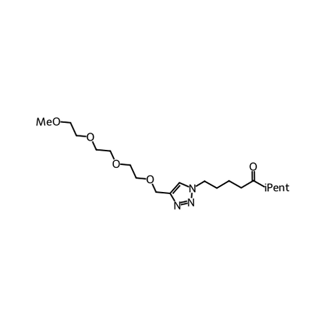 CCCC(C)C(=O)CCCCn1cc(COCCOCCOCCOC)nn1